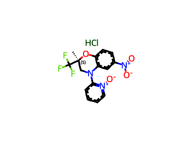 C[C@@]1(C(F)(F)F)CN(c2cccc[n+]2[O-])c2cc([N+](=O)[O-])ccc2O1.Cl